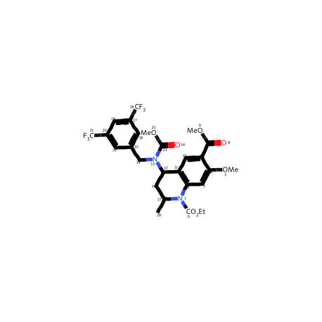 CCOC(=O)N1c2cc(OC)c(C(=O)OC)cc2C(N(Cc2cc(C(F)(F)F)cc(C(F)(F)F)c2)C(=O)OC)CC1C